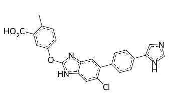 Cc1ccc(Oc2nc3cc(-c4ccc(-c5cnc[nH]5)cc4)c(Cl)cc3[nH]2)cc1C(=O)O